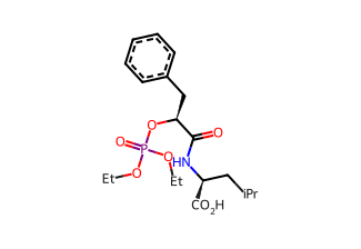 CCOP(=O)(OCC)O[C@@H](Cc1ccccc1)C(=O)N[C@@H](CC(C)C)C(=O)O